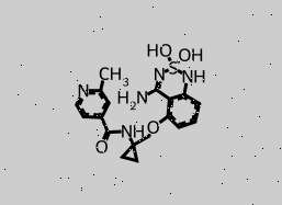 Cc1cc(C(=O)NC2(COc3cccc4c3C(N)=NS(O)(O)N4)CC2)ccn1